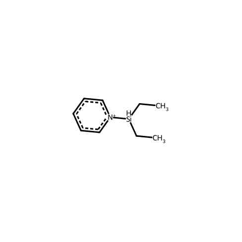 CC[SiH](CC)[n+]1ccccc1